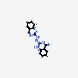 N=c1nc(N=Nc2ncc3ccccc3n2)[nH]c2ccccc12